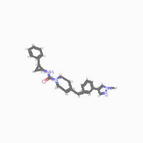 Cn1cc(-c2cccc(CC3CCN(C(=O)NC4CC4c4ccccc4)CC3)c2)cn1